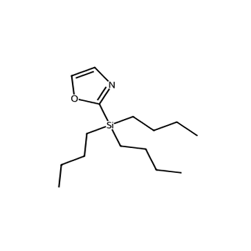 CCCC[Si](CCCC)(CCCC)c1ncco1